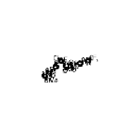 COc1ccnc2c(=O)n(-c3nc4ccc(Oc5cc(-c6cc(OI)c7oc(=O)n(-c8nc9ccc(Oc%10cncc(C(F)(F)F)c%10)cc9s8)c(=O)c7n6)c(F)cc5Cl)cc4s3)c(=O)oc12